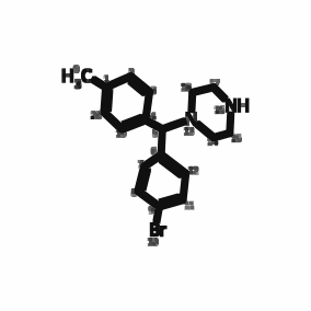 Cc1ccc(C(c2ccc(Br)cc2)N2CCNCC2)cc1